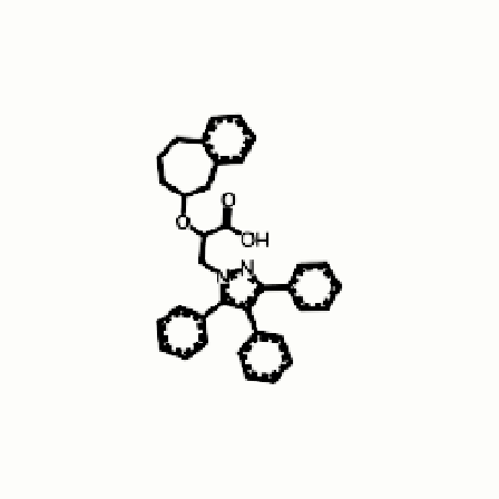 O=C(O)C(Cn1nc(-c2ccccc2)c(-c2ccccc2)c1-c1ccccc1)OC1CCCc2ccccc2C1